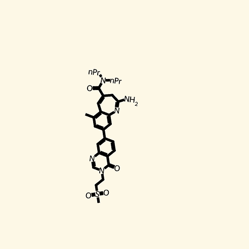 CCCN(CCC)C(=O)C1=Cc2c(C)cc(-c3ccc4c(=O)n(CCS(C)(=O)=O)cnc4c3)cc2N=C(N)C1